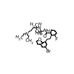 CCN(CC)CCCC(C)(C)NC(=N)NC(=O)c1cccc(F)c1CCc1cc(Br)cc2ccoc12